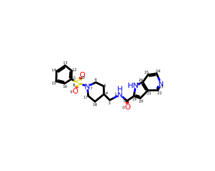 O=C(NCC1CCN(S(=O)(=O)c2ccccc2)CC1)c1cc2cnccc2[nH]1